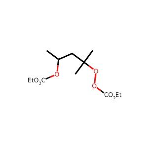 CCOC(=O)OOC(C)(C)CC(C)OC(=O)OCC